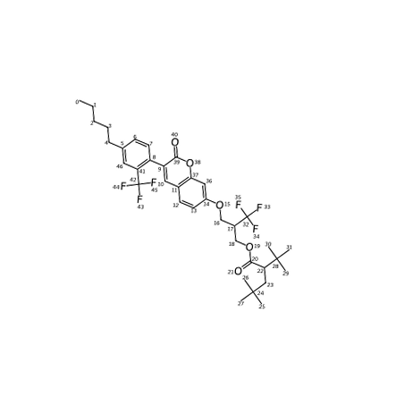 CCCCCc1ccc(-c2cc3ccc(OCC(COC(=O)C(CC(C)(C)C)C(C)(C)C)C(F)(F)F)cc3oc2=O)c(C(F)(F)F)c1